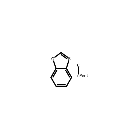 CCCCCCl.b1coc2ccccc12